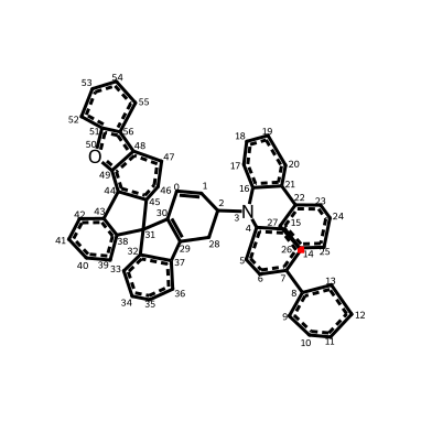 C1=CC(N(c2ccc(-c3ccccc3)cc2)c2ccccc2-c2ccccc2)CC2=C1C1(c3ccccc32)c2ccccc2-c2c1ccc1c2oc2ccccc21